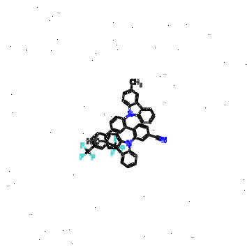 Cc1ccc2c(c1)c1ccccc1n2-c1ccc(-c2ccc(C(F)(F)F)cc2C(F)(F)F)cc1-c1ccc(C#N)cc1-n1c2ccccc2c2cc(C)ccc21